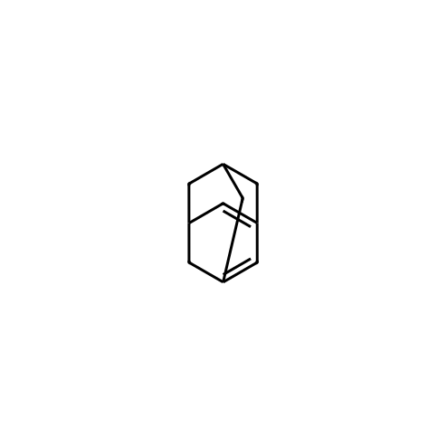 C1=C2C=C3CC1CC(C2)C3